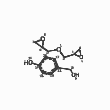 C(OCC1CO1)C1CO1.OCc1ccc(O)cc1